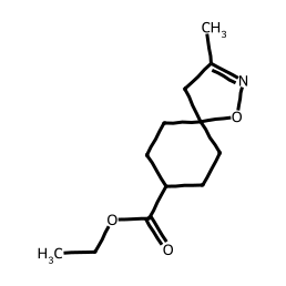 CCOC(=O)C1CCC2(CC1)CC(C)=NO2